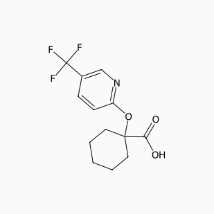 O=C(O)C1(Oc2ccc(C(F)(F)F)cn2)CCCCC1